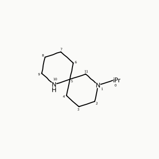 CC(C)N1CCCC2(CCCCN2)C1